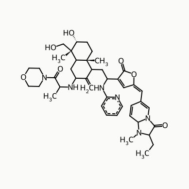 C=C1C(NC(C)C(=O)N2CCOCC2)CC2[C@](C)(CC[C@@H](O)[C@@]2(C)CO)C1CC(Nc1ccccn1)C1=C/C(=C\C2=CN3C(=O)C(CC)N(C)C3C=C2)OC1=O